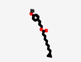 CCOc1ccc(/C=C/COC(=O)CCCCCCCCC2CC2)cc1